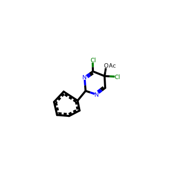 CC(=O)OC1(Cl)C=NC(c2ccccc2)N=C1Cl